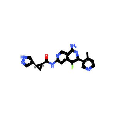 Cc1ccncc1-c1nc(N)c2cnc(NC(=O)[C@H]3C[C@@H]3c3cn[nH]c3)cc2c1F